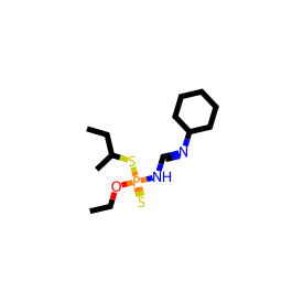 CCOP(=S)(NC=NC1CCCCC1)SC(C)CC